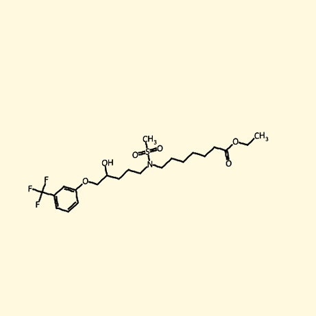 CCOC(=O)CCCCCCN(CCCC(O)COc1cccc(C(F)(F)F)c1)S(C)(=O)=O